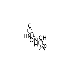 Cc1noc2cc(O)c(NCc3cc4cc(Cl)ccc4[nH]c3=O)cc12